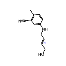 Cc1ccc(NC/C=C/CO)cc1C#N